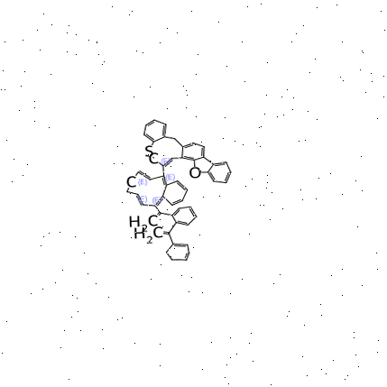 C=C(C1=CC=CCC1)c1ccccc1C(=C)C1=c2/cccc/c2=C(\C2=C/c3c(ccc4c3oc3ccccc34)Cc3ccccc3SC2)/C=C/CC/C=C/1